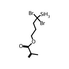 C=C(C)C(=O)OCCCC([SiH3])(Br)Br